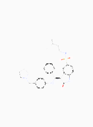 CC(C)CCNS(=O)(=O)c1ccc2c(c1)/C(=C(/Nc1ccc(CN3CCCC3)cc1)c1ccccc1)C(=O)N2